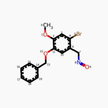 COc1cc(Br)c(CN=O)cc1OCc1ccccc1